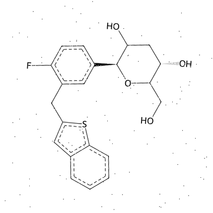 OCC1O[C@@H](c2ccc(F)c(Cc3cc4ccccc4s3)c2)C(O)C[C@@H]1O